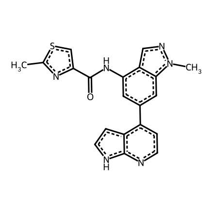 Cc1nc(C(=O)Nc2cc(-c3ccnc4[nH]ccc34)cc3c2cnn3C)cs1